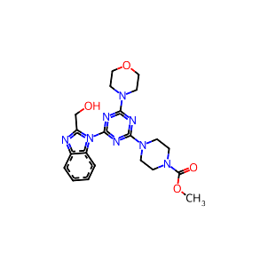 COC(=O)N1CCN(c2nc(N3CCOCC3)nc(-n3c(CO)nc4ccccc43)n2)CC1